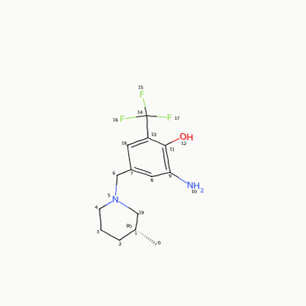 C[C@@H]1CCCN(Cc2cc(N)c(O)c(C(F)(F)F)c2)C1